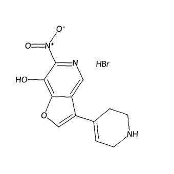 Br.O=[N+]([O-])c1ncc2c(C3=CCNCC3)coc2c1O